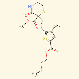 CCCCOC(=O)c1cc(C)c(CCC2(C(=O)OC)SCCNC2=O)s1